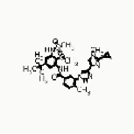 COc1c(NC(=O)c2ccc(C)c(-n3cc(-c4cn(C)c(C5CC5)n4)nn3)c2)cc(C(C)(C)C)cc1NS(C)(=O)=O